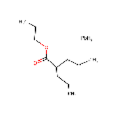 CCCOC(=O)C(CCC)CCC.[PbH2]